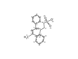 C/C(=N/Nc1ccccc1)c1cccc[n+]1CCCS(=O)(=O)[O-]